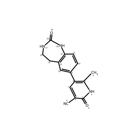 Cc1[nH]c(=O)c(C#N)cc1-c1ccc2c(c1)CCNC(=O)N2